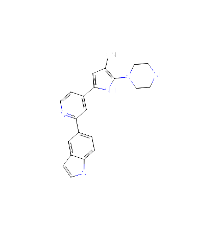 N#Cc1cc(-c2ccnc(-c3ccc4[nH]ccc4c3)c2)[nH]c1N1CCNCC1